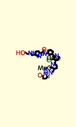 COc1nc(-c2ccnc(-c3cccc(NC(=O)c4ccc(CNCCO)cn4)c3OC)c2Cl)ccc1CNC[C@@H]1CCC(=O)N1